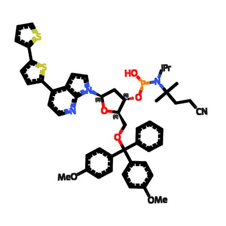 COc1ccc(C(OC[C@H]2O[C@@H](n3ccc4c(-c5ccc(-c6cccs6)s5)ccnc43)C[C@@H]2OP(O)N(C(C)C)C(C)(C)CCC#N)(c2ccccc2)c2ccc(OC)cc2)cc1